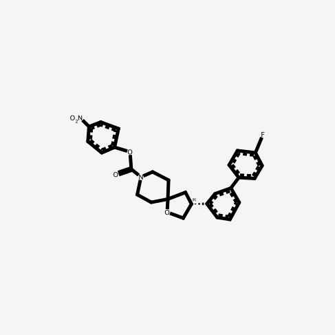 O=C(Oc1ccc([N+](=O)[O-])cc1)N1CCC2(CC1)C[C@H](c1cccc(-c3ccc(F)cc3)c1)CO2